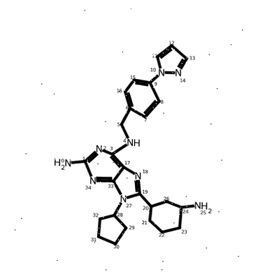 Nc1nc(NCc2ccc(-n3cccn3)cc2)c2nc(C3CCCC(N)C3)n(C3CCCC3)c2n1